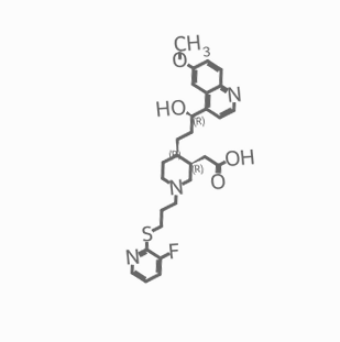 COc1ccc2nccc([C@H](O)CC[C@@H]3CCN(CCCSc4ncccc4F)C[C@@H]3CC(=O)O)c2c1